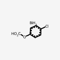 O=C(O)Oc1ccc(Cl)cc1.[BiH3]